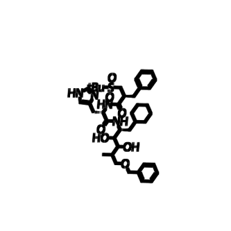 CC(COCc1ccccc1)C(O)C(O)[C@H](CC1CCCCC1)NC(=O)[C@H](Cc1c[nH]cn1)NC(=O)[C@H](Cc1ccccc1)CS(=O)(=O)C(C)(C)C